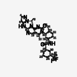 CCn1nccc1Nc1ncc2c(C)n(-c3cc(NC(=O)c4cccc(C(F)(F)F)c4)ccc3C)c(=O)nc2n1